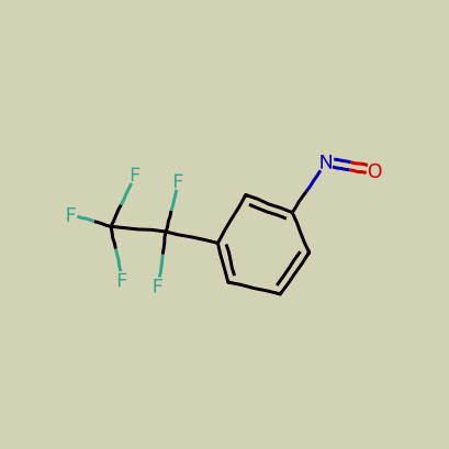 O=Nc1cccc(C(F)(F)C(F)(F)F)c1